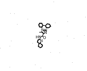 Cc1c(C(=O)Nc2ccc3ccccc3n2)nnn1-c1ccccc1-c1ccccc1